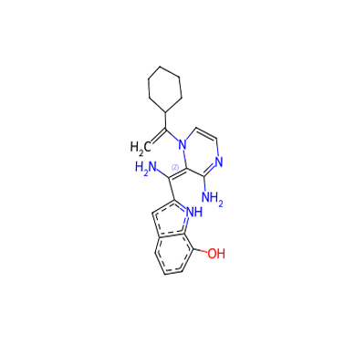 C=C(C1CCCCC1)N1C=CN=C(N)/C1=C(/N)c1cc2cccc(O)c2[nH]1